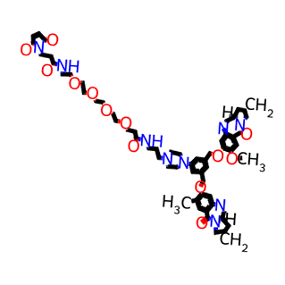 C=C1C[C@H]2C=Nc3cc(OCc4cc(COc5cc6c(cc5OC)C(=O)N5CC(=C)C[C@H]5C=N6)cc(N5CCN(CCCNC(=O)CCOCCOCCOCCOCCNC(=O)CCN6C(=O)C=CC6=O)CC5)c4)c(C)cc3C(=O)N2C1